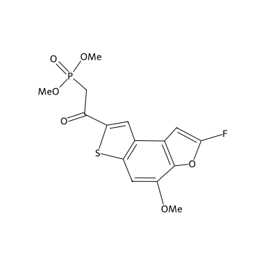 COc1cc2sc(C(=O)CP(=O)(OC)OC)cc2c2cc(F)oc12